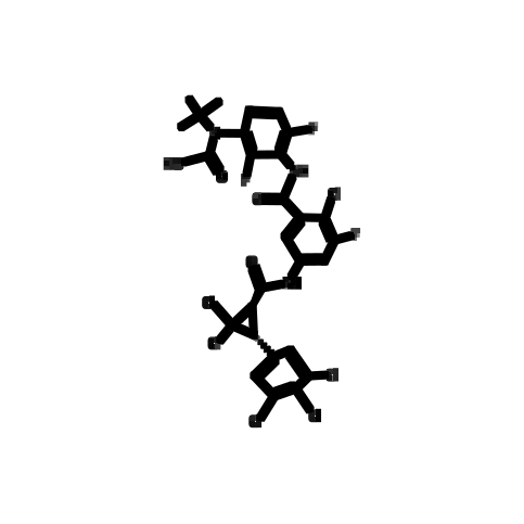 CC(C)(C)N(C(=O)O)c1ccc(F)c(NC(=O)c2cc(NC(=O)[C@H]3[C@H](c4cc(Cl)c(Cl)c(Cl)c4)C3(Cl)Cl)cc(F)c2Cl)c1F